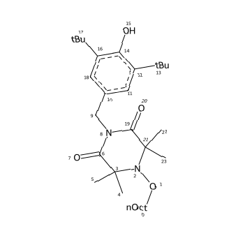 CCCCCCCCON1C(C)(C)C(=O)N(Cc2cc(C(C)(C)C)c(O)c(C(C)(C)C)c2)C(=O)C1(C)C